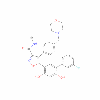 CCNC(=O)c1noc(-c2cc(-c3cccc(F)c3)c(O)cc2O)c1-c1ccc(CN2CCOCC2)cc1